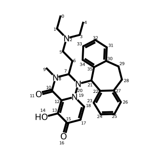 CCN(CC)CCC1N(C)C(=O)c2c(O)c(=O)ccn2N1C1c2ccccc2CCc2ccccc21